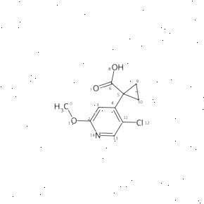 COc1cc(C2(C(=O)O)CC2)c(Cl)cn1